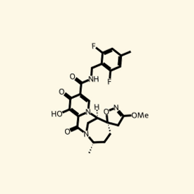 COC1=NO[C@@]2(CC[C@H](C)N3C[C@H]2n2cc(C(=O)NCc4c(F)cc(C)cc4F)c(=O)c(O)c2C3=O)C1